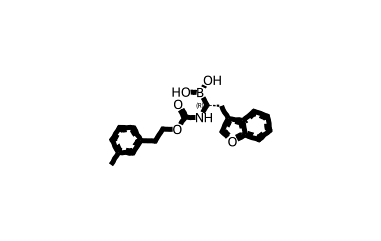 Cc1cccc(CCOC(=O)N[C@@H](Cc2coc3ccccc23)B(O)O)c1